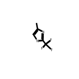 CC1=[C][N]C(C(F)(F)F)=N1